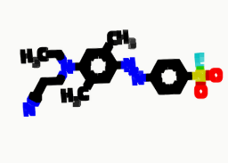 CCN(CCC#N)c1cc(C)c(N=Nc2ccc(S(=O)(=O)F)cc2)cc1C